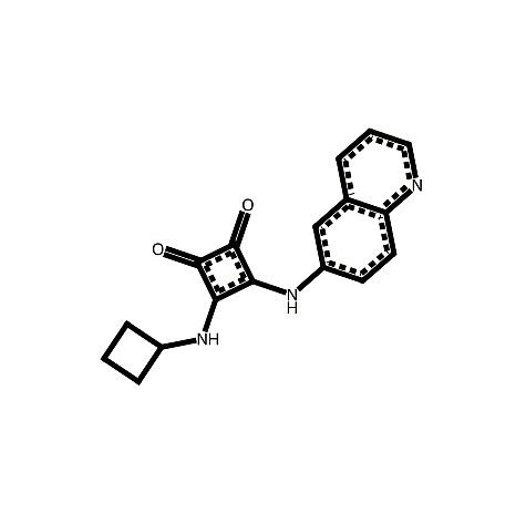 O=c1c(Nc2ccc3ncccc3c2)c(NC2CCC2)c1=O